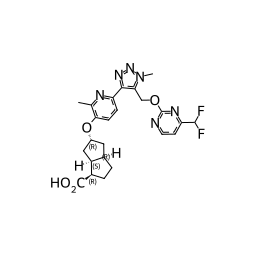 Cc1nc(-c2nnn(C)c2COc2nccc(C(F)F)n2)ccc1O[C@@H]1C[C@H]2CC[C@@H](C(=O)O)[C@H]2C1